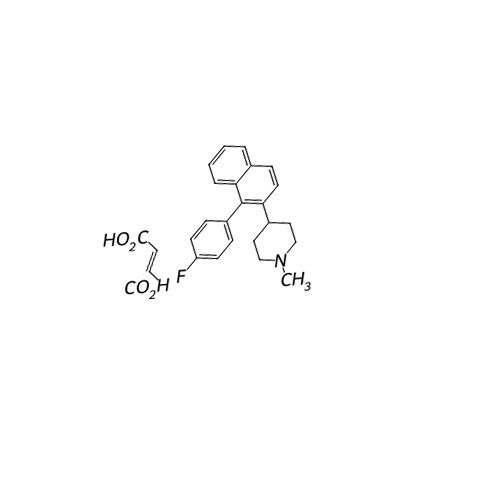 CN1CCC(c2ccc3ccccc3c2-c2ccc(F)cc2)CC1.O=C(O)C=CC(=O)O